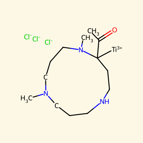 CC(=O)[C]1([Ti+3])CCNCCCN(C)CCCN1C.[Cl-].[Cl-].[Cl-]